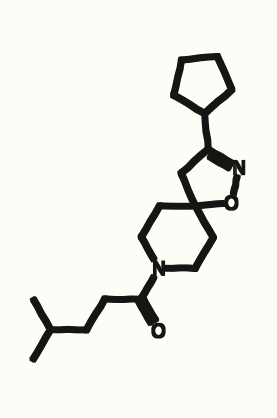 CC(C)CCC(=O)N1CCC2(CC1)CC(C1CCCC1)=NO2